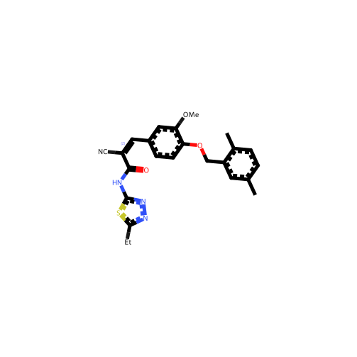 CCc1nnc(NC(=O)/C(C#N)=C\c2ccc(OCc3cc(C)ccc3C)c(OC)c2)s1